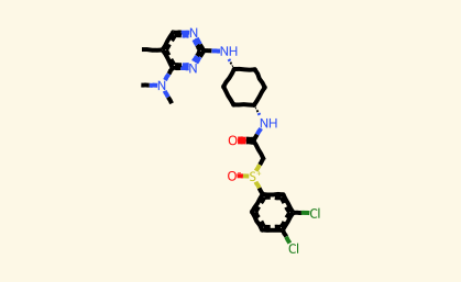 Cc1cnc(N[C@H]2CC[C@@H](NC(=O)C[S+]([O-])c3ccc(Cl)c(Cl)c3)CC2)nc1N(C)C